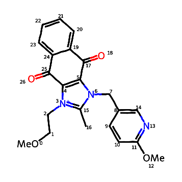 COCC[n+]1c2c(n(Cc3ccc(OC)nc3)c1C)C(=O)c1ccccc1C2=O